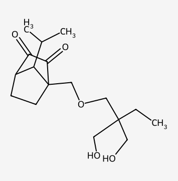 CCC(CO)(CO)COCC12CCC(C(=O)C1=O)C2C(C)C